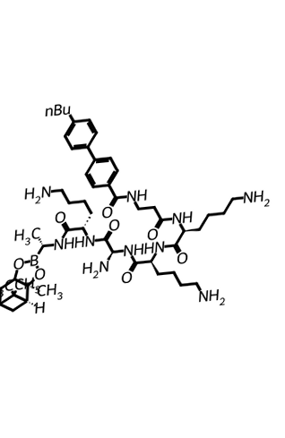 CCCCc1ccc(-c2ccc(C(=O)NCCC(=O)N[C@@H](CCCCN)C(=O)N[C@@H](CCCCN)C(=O)N[C@@H](N)C(=O)N[C@@H](CCCCN)C(=O)N[C@@H](C)B3OC4C[C@@H]5C[C@@H](C5(C)C)[C@]4(C)O3)cc2)cc1